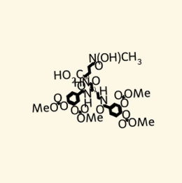 COC(=O)Oc1ccc(C(=O)NCC[C@H](NC(=O)c2ccc(OC(=O)OC)c(OC(=O)OC)c2)C(=O)N[C@@H](CCC(=O)N(C)O)C(=O)O)cc1OC(=O)OC